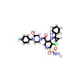 NS(=O)(=O)c1ncc(C(=O)N2CCN(c3ccc(F)cc3)C(=O)C2)c(NC2(c3ccccc3)CC2)c1Cl